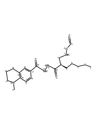 CCCCC[C@H](CNOC=O)C(=O)NNC(=O)c1ccc2c(c1)CCCN2C